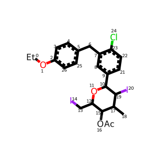 CCOc1ccc(Cc2cc(C3OC(CI)C(OC(C)=O)C(C)C3I)ccc2Cl)cc1